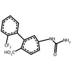 NC(=O)Nc1ccc(C(=O)O)c(-c2ccccc2C(F)(F)F)c1